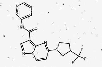 O=C(Nc1cccnc1)c1cnn2ccc(N3CCC(C(F)(F)F)C3)nc12